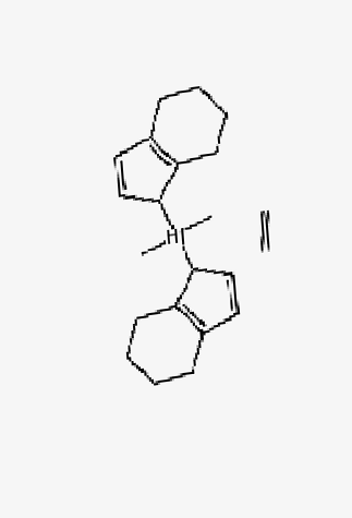 C=C.[CH3][Hf]([CH3])([CH]1C=CC2=C1CCCC2)[CH]1C=CC2=C1CCCC2